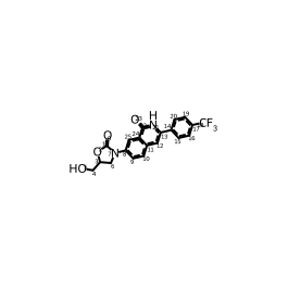 O=C1OC(CO)CN1c1ccc2cc(-c3ccc(C(F)(F)F)cc3)[nH]c(=O)c2c1